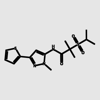 CC(C)S(=O)(=O)C(C)(C)C(=O)Nc1cc(-c2cccs2)nn1C